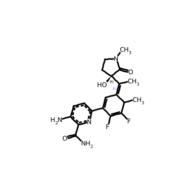 C/C(=C1/C=C(c2ccc(N)c(C(N)=O)n2)C(F)=C(F)C1C)[C@]1(O)CCN(C)C1=O